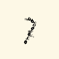 CCOc1cncc(-c2ccc(C(=O)N3CCN(c4ccc(C(=O)NS(=O)(=O)c5ccc(NCCSc6ccccc6)c([N+](=O)[O-])c5)cc4)CC3)cc2C)c1